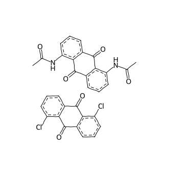 CC(=O)Nc1cccc2c1C(=O)c1cccc(NC(C)=O)c1C2=O.O=C1c2cccc(Cl)c2C(=O)c2cccc(Cl)c21